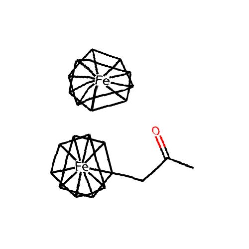 CC(=O)C[C]12[CH]3[CH]4[CH]5[CH]1[Fe]45321678[CH]2[CH]1[CH]6[CH]7[CH]28.[CH]12[CH]3[CH]4[CH]5[CH]1[Fe]23451678[CH]2[CH]1[CH]6[CH]7[CH]28